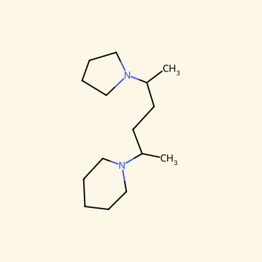 CC(CCC(C)N1CCCC1)N1CCCCC1